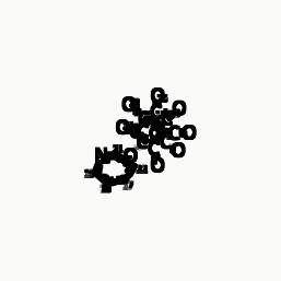 O=[C]=[Co](=[C]=O)(=[C]=O)(=[C]=O)(=[C]=O)(=[C]=O)(=[C]=O)=[C]=O.c1ccncc1